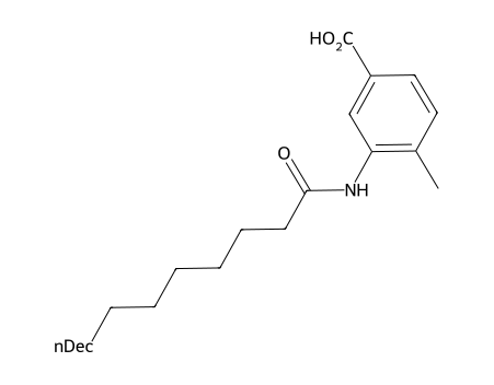 CCCCCCCCCCCCCCCCC(=O)Nc1cc(C(=O)O)ccc1C